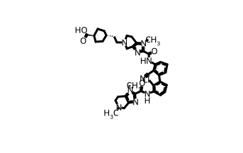 CN1CCc2c(nc(C(=O)Nc3cccc(-c4cccc(NC(=O)c5nc6c(n5C)CCN(CC[C@H]5CC[C@H](C(=O)O)CC5)C6)c4C#N)c3Cl)n2C)C1